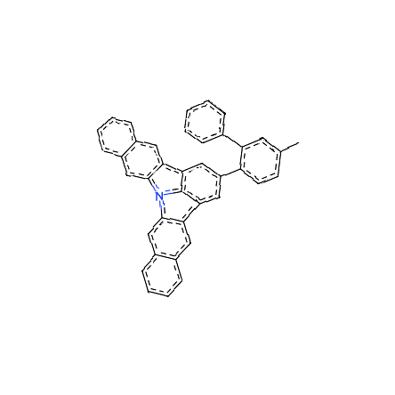 Cc1ccc(-c2cc3c4cc5ccccc5cc4n4c5cc6ccccc6cc5c(c2)c34)c(-c2ccccc2)c1